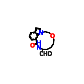 O=CC1CCCCOCCn2ccc3cccc(c32)C(=O)N1